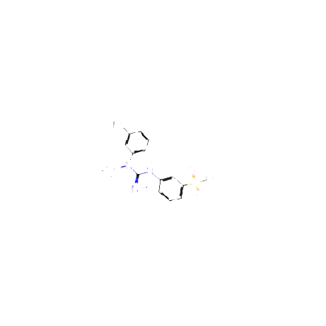 CCc1cccc(N(C)C(=N)Nc2cccc(S(C)(=O)=O)c2)c1